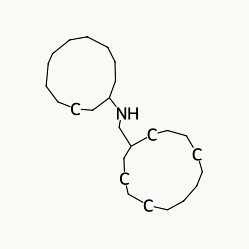 C1CCCCCCC(CNC2CCCCCCCCCCC2)CCCCC1